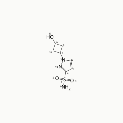 NS(=O)(=O)c1ccn(C2CC(O)C2)n1